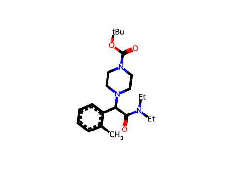 CCN(CC)C(=O)C(c1ccccc1C)N1CCN(C(=O)OC(C)(C)C)CC1